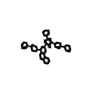 c1ccc(-c2ccc(-c3nc(-c4ccccc4)nc(-c4cc(-c5ccc(-c6ccccc6)cc5)c5ccc6ccccc6c5c4)n3)cc2)cc1